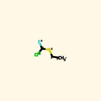 [CH2]CSC(F)Cl